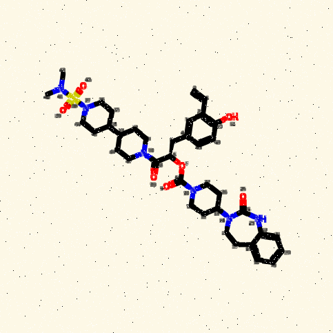 C=Cc1cc(C[C@@H](OC(=O)N2CCC(N3CCc4ccccc4NC3=O)CC2)C(=O)N2CCC(C3CCN(S(=O)(=O)N(C)C)CC3)CC2)ccc1O